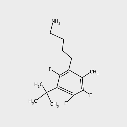 Cc1c(F)c(F)c(C(C)(C)C)c(F)c1CCCCN